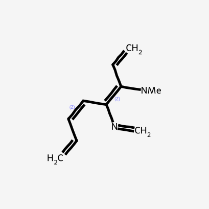 C=C/C=C\C(N=C)=C(/C=C)NC